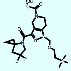 CC(C)(C)OC(=O)N1CCc2c(c(C(=O)N3CC(F)(F)CC34CC4)nn2COCC[Si](C)(C)C)C1